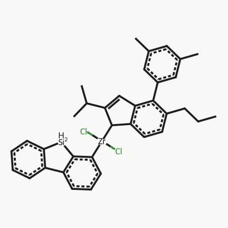 CCCc1ccc2c(c1-c1cc(C)cc(C)c1)C=C(C(C)C)[CH]2[Zr]([Cl])([Cl])[c]1cccc2c1[SiH2]c1ccccc1-2